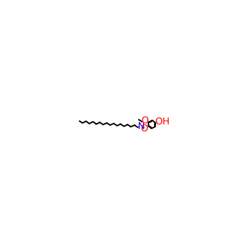 CCCCCCCCCCCCCCCCCCN(Oc1ccc(O)cc1)C(C)=O